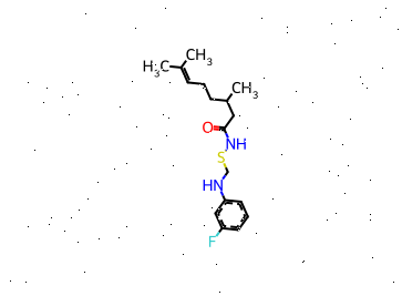 CC(C)=CCCC(C)CC(=O)NSCNc1cccc(F)c1